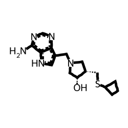 Nc1ncnc2c(CN3C[C@H](CSC4CCC4)[C@H](O)C3)c[nH]c12